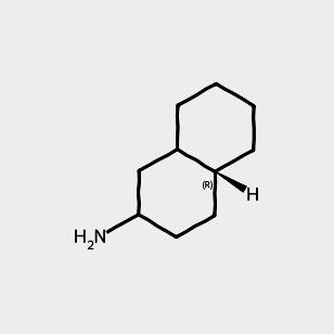 NC1CC[C@H]2CCCCC2C1